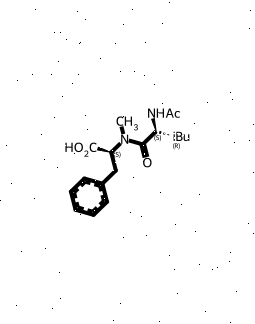 CC[C@@H](C)[C@H](NC(C)=O)C(=O)N(C)[C@@H](Cc1ccccc1)C(=O)O